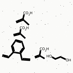 C=C(C)C(=O)O.C=C(C)C(=O)O.C=C(C)C(=O)O.C=Cc1ccccc1C=C.OCCO